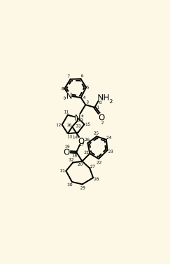 NC(=O)C(c1ccccn1)[N+]12CCC(CC1)C(OC(=O)C1(c3ccccc3)CCCCCC1)C2